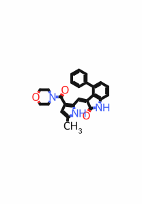 Cc1cc(C(=O)N2CCOCC2)c(/C=C2\C(=O)Nc3cccc(-c4ccccc4)c32)[nH]1